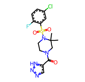 CC1(C)CN(C(=O)c2cnn[nH]2)CCN1S(=O)(=O)c1cc(Cl)ccc1F